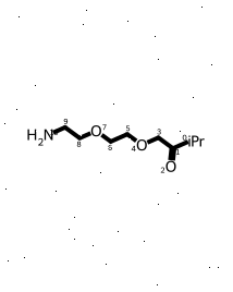 CC(C)C(=O)COCCOCCN